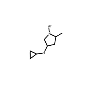 CC(C)N1CC(OC2CC2)CC1C